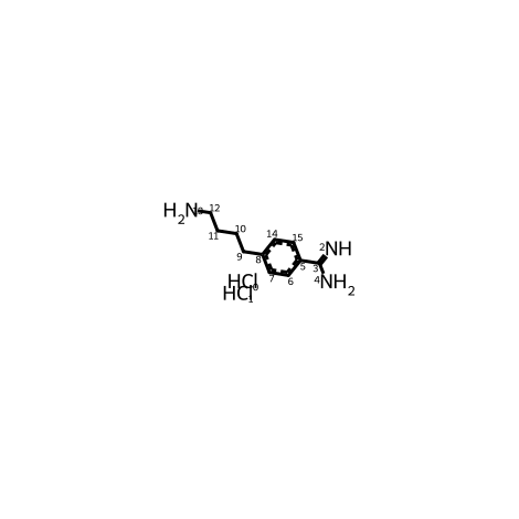 Cl.Cl.N=C(N)c1ccc(CCCCN)cc1